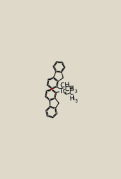 C[CH]=[Ti]([CH3])([CH3])([c]1cccc2c1Cc1ccccc1-2)[c]1cccc2c1Cc1ccccc1-2